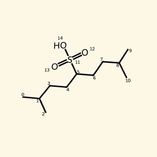 CC(C)CCC(CCC(C)C)S(=O)(=O)O